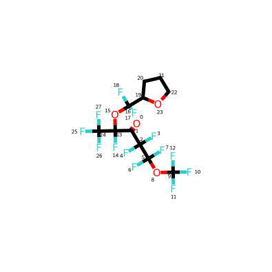 O=C(C(F)(F)C(F)(F)OC(F)(F)F)C(F)(OC(F)(F)C1CCCO1)C(F)(F)F